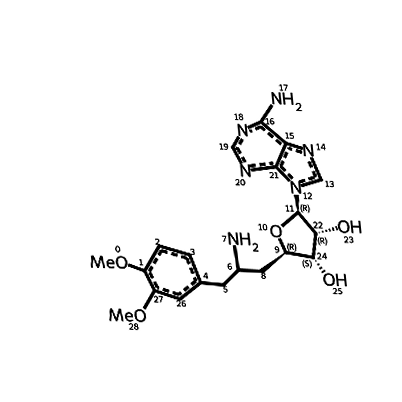 COc1ccc(CC(N)C[C@H]2O[C@@H](n3cnc4c(N)ncnc43)[C@H](O)[C@@H]2O)cc1OC